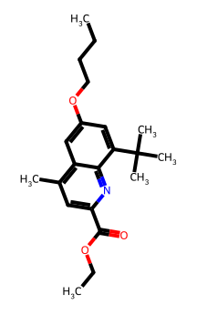 CCCCOc1cc(C(C)(C)C)c2nc(C(=O)OCC)cc(C)c2c1